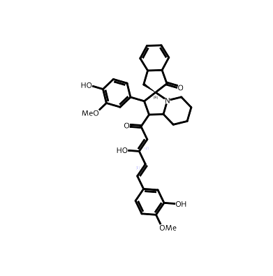 COc1ccc(/C=C/C(O)=C/C(=O)C2C3CCCCN3[C@]3(CC4C=CC=CC4C3=O)C2c2ccc(O)c(OC)c2)cc1O